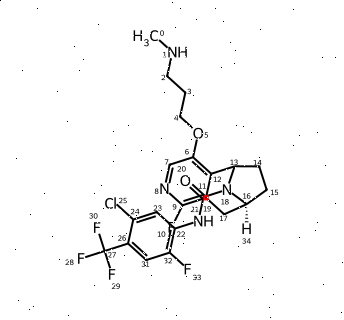 CNCCCOc1cnc(F)c2c1C1CC[C@@H](C2)N1C(=O)Nc1cc(Cl)c(C(F)(F)F)cc1F